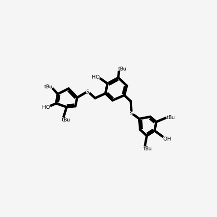 CC(C)(C)c1cc(CSc2cc(C(C)(C)C)c(O)c(C(C)(C)C)c2)cc(CSc2cc(C(C)(C)C)c(O)c(C(C)(C)C)c2)c1O